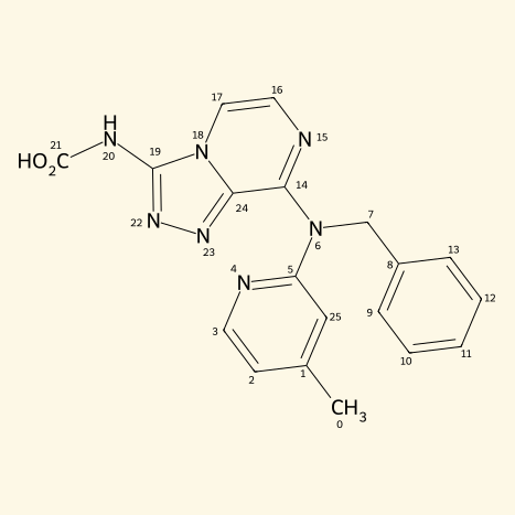 Cc1ccnc(N(Cc2ccccc2)c2nccn3c(NC(=O)O)nnc23)c1